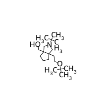 CC(C)(C)OCCC12CCCC1(CO)CN(C(C)(C)C)C2